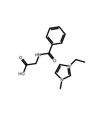 CC[n+]1ccn(C)c1.O=C(O)CNC(=O)c1ccccc1